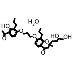 CCCc1c(OCCCOc2ccc3c(c2CCC)OC(C)(CCC(O)CO)CC3=O)ccc(C(C)=O)c1O.O